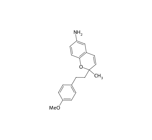 COc1ccc(CCC2(C)C=Cc3cc(N)ccc3O2)cc1